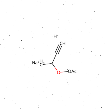 C#CC(C)OOC(C)=O.[H-].[Na+]